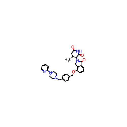 CC1CC(=O)NC(=O)C1N1Cc2c(OCc3ccc(CN4CCN(c5ccccn5)CC4)cc3)cccc2C1=O